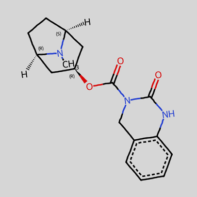 CN1[C@@H]2CC[C@H]1C[C@@H](OC(=O)N1Cc3ccccc3NC1=O)C2